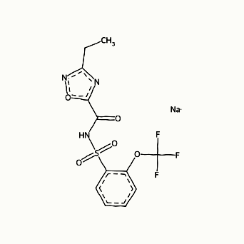 CCc1noc(C(=O)NS(=O)(=O)c2ccccc2OC(F)(F)F)n1.[Na]